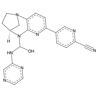 N#Cc1ccc(-c2ccc3c(n2)N(C(O)Nc2cnccn2)[C@H]2CCN3C2)cn1